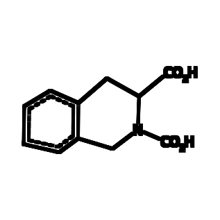 O=C(O)C1Cc2ccccc2CN1C(=O)O